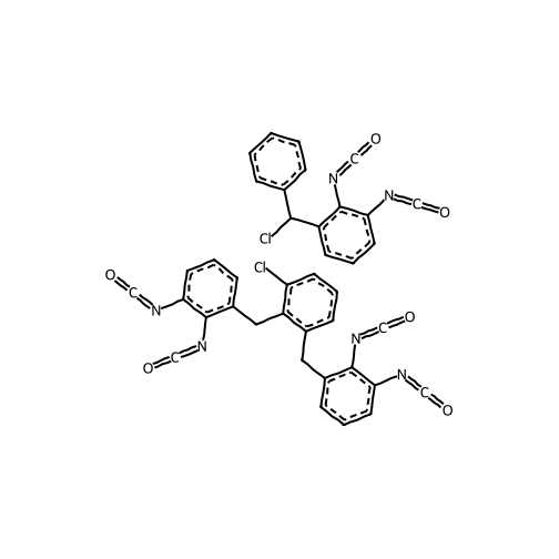 O=C=Nc1cccc(C(Cl)c2ccccc2)c1N=C=O.O=C=Nc1cccc(Cc2cccc(Cl)c2Cc2cccc(N=C=O)c2N=C=O)c1N=C=O